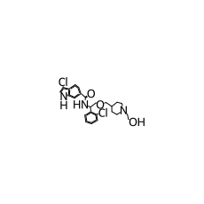 O=C(NC(COCC1CCN(CCO)CC1)c1ccccc1Cl)c1ccc2c(Cl)c[nH]c2c1